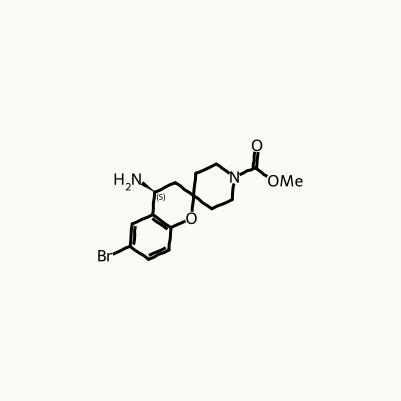 COC(=O)N1CCC2(CC1)C[C@H](N)c1cc(Br)ccc1O2